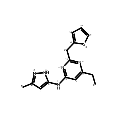 CCc1cc(Nc2cc(C)n[nH]2)nc(Cc2cccs2)n1